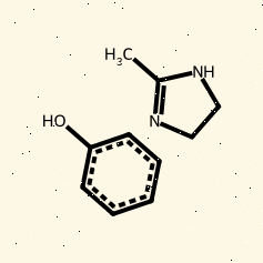 CC1=NCCN1.Oc1ccccc1